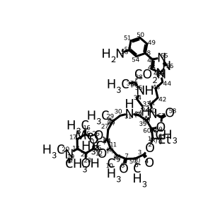 CC[C@H]1OC(=O)[C@H](C)C(=O)[C@H](C)[C@@H](O[C@@H]2OC(C)CC(N(C)C)C2O)[C@](C)(OC)C[C@@H](C)CN[C@H](CCN[C@H](C)C(=O)O)[C@H]2N(CCCCn3cc(-c4cccc(N)c4)nn3)C(=O)O[C@]12C